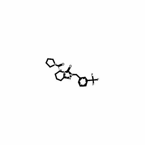 O=C([C@H]1CCCc2nn(Cc3cccc(C(F)(F)F)c3)c(=O)n21)N1CCCC1